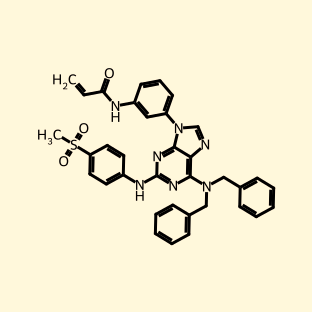 C=CC(=O)Nc1cccc(-n2cnc3c(N(Cc4ccccc4)Cc4ccccc4)nc(Nc4ccc(S(C)(=O)=O)cc4)nc32)c1